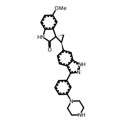 COc1ccc2c(c1)[C@]1(C[C@H]1c1ccc3c(-c4cccc(N5CCNCC5)c4)n[nH]c3c1)C(=O)N2